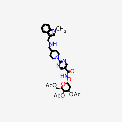 CC(=O)OC[C@H]1O[C@@H](ONC(=O)c2cnc(N3CCC(CNCc4cn(C)c5ccccc45)CC3)nc2)C[C@@H](OC(C)=O)[C@H]1OC(C)=O